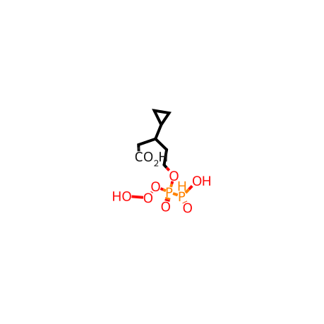 O=C(O)CC(CCOP(=O)(OOO)[PH](=O)O)C1CC1